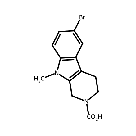 Cn1c2c(c3cc(Br)ccc31)CCN(C(=O)O)C2